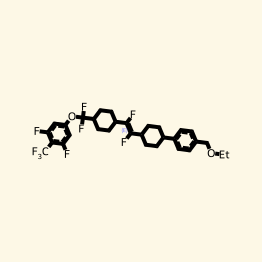 CCOCc1ccc(C2CCC(/C(F)=C(\F)C3CCC(C(F)(F)Oc4cc(F)c(C(F)(F)F)c(F)c4)CC3)CC2)cc1